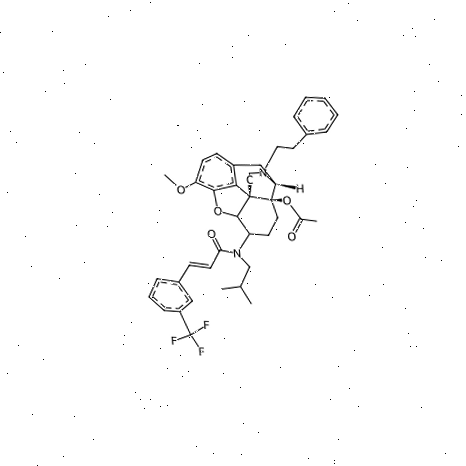 COc1ccc2c3c1OC1C(N(CC(C)C)C(=O)/C=C/c4cccc(C(F)(F)F)c4)CC[C@@]4(OC(C)=O)[C@@H](C2)N(CCc2ccccc2)CC[C@]314